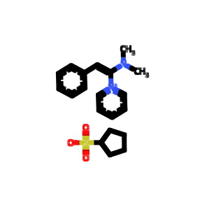 CN(C)C(=Cc1ccccc1)[n+]1ccccc1.O=S(=O)([O-])C1CCCC1